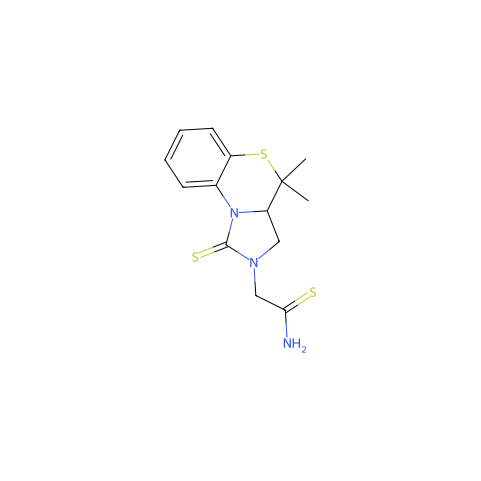 CC1(C)Sc2ccccc2N2C(=S)N(CC(N)=S)CC21